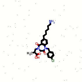 CC(CN1CC(=O)N(Cc2ccc(Cl)cc2)c2ccc(CCCCCCN)cc2C1=O)C(=O)O